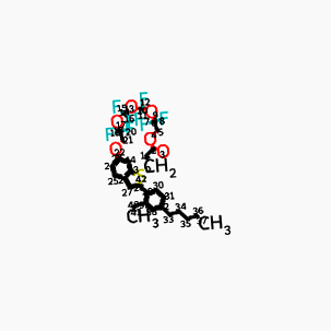 C=CC(=O)OCC(F)(F)OC(F)(F)OC(F)(F)OC(F)(F)COc1ccc2cc(-c3ccc(CCCCC)cc3CC)sc2c1